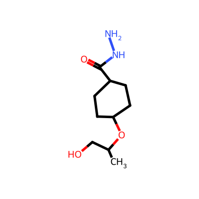 CC(CO)OC1CCC(C(=O)NN)CC1